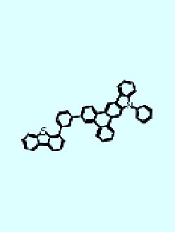 c1ccc(-n2c3ccccc3c3cc4c5ccc(-c6cccc(-c7cccc8c7sc7ccccc78)c6)cc5c5ccccc5c4cc32)cc1